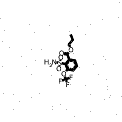 CCCOC(=O)c1cccc(OC(F)(F)F)c1S(N)(=O)=O